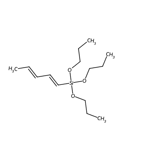 CC=CC=C[Si](OCCC)(OCCC)OCCC